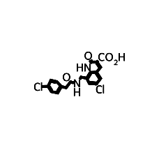 O=C(Cc1ccc(Cl)cc1)NCc1cc(Cl)cc2cc(C(=O)O)c(=O)[nH]c12